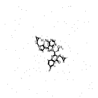 CC[C@@H](c1nc2ccc(F)cc2c(=O)n1CC1CC1)n1nc(-c2cnn(CC3CC3)c2)c2c(N)ncnc21